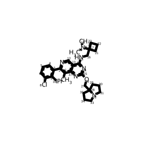 Cc1c(-c2cccc(Cl)c2C(C)C)ncc2c(NCC3(N(C)C)CCC3)nc(OCC34CCCN3CCC4)nc12